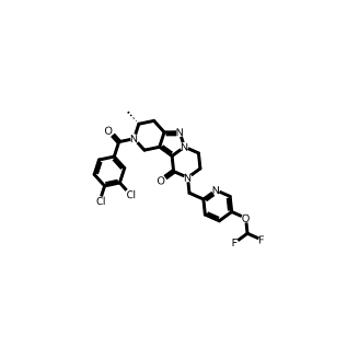 C[C@@H]1Cc2nn3c(c2CN1C(=O)c1ccc(Cl)c(Cl)c1)C(=O)N(Cc1ccc(OC(F)F)cn1)CC3